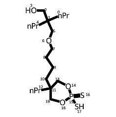 CCCC(CO)(CCC)COCCCCC1(CCC)COP(=S)(S)OC1